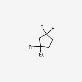 CCC1(C(C)C)CCC(F)(F)C1